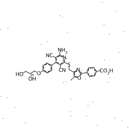 Cc1oc(-c2ccc(C(=O)O)cc2)nc1CSc1nc(N)c(C#N)c(-c2ccc(OC[C@H](O)CO)cc2)c1C#N